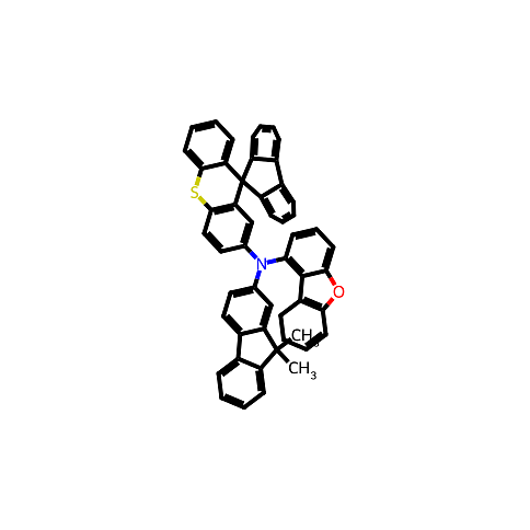 CC1(C)c2ccccc2-c2ccc(N(c3ccc4c(c3)C3(c5ccccc5S4)c4ccccc4-c4ccccc43)c3cccc4oc5c(c34)CCC=C5)cc21